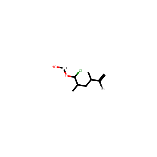 C=C(CC)C(C)CC(C)C(Cl)OBO